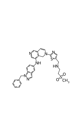 CS(=O)(=O)CCNCc1cnc(N2C=Cc3cncc(Nc4ccc5c(cnn5Cc5ccccc5)c4)c3C2)s1